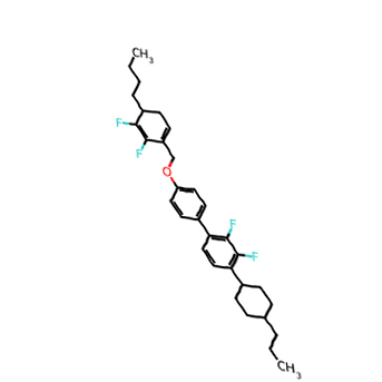 CCCCC1CC=C(COc2ccc(-c3ccc(C4CCC(CCC)CC4)c(F)c3F)cc2)C(F)=C1F